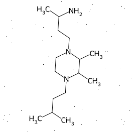 CC(C)CCN1CCN(CCC(C)N)C(C)C1C